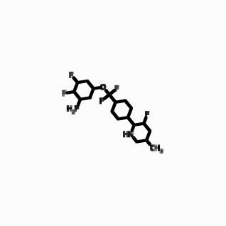 CC1CNC(C2CCC(C(F)(F)OC3CC(F)C(F)C(P)C3)CC2)C(F)C1